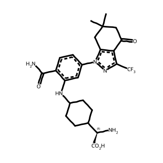 CC1(C)CC(=O)c2c(C(F)(F)F)nn(-c3ccc(C(N)=O)c(NC4CCC([C@@H](N)C(=O)O)CC4)c3)c2C1